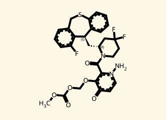 COC(=O)OCOc1c(C(=O)N2CCC(F)(F)C[C@H]2C[C@@H]2c3ccccc3SCc3cccc(F)c32)n(N)ccc1=O